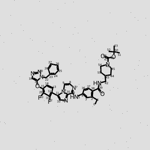 CCc1cc(Nc2nccn3c(-c4ccc(Oc5cnnn5Cc5ccccc5)c(F)c4F)cnc23)ccc1C(=O)NCC1CCN(C(=O)OC(C)(C)C)CC1